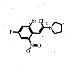 CC(=Cc1c(Br)cc(F)cc1[N+](=O)[O-])N1CCCC1